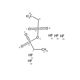 CCS(=O)(=O)OS(=O)(=O)CC.F.F.F.F.F